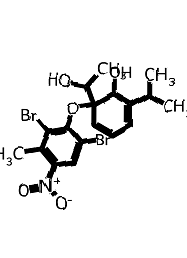 Cc1c([N+](=O)[O-])cc(Br)c(OC2(C(C)O)C=CC=C(C(C)C)C2O)c1Br